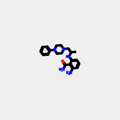 CC(CN1CCN(c2ccccc2)CC1)Nc1cccc(N)c1C(N)=O